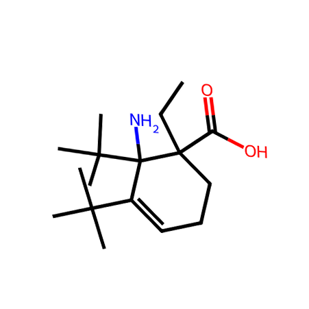 CCC1(C(=O)O)CCC=C(C(C)(C)C)C1(N)C(C)(C)C